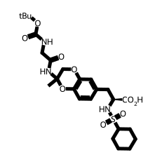 CC(C)(C)OC(=O)NCC(=O)NC1(C)COc2cc(C[C@H](NS(=O)(=O)C3CCCCC3)C(=O)O)ccc2O1